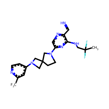 CC(F)(F)CNc1nc(N2CCC3(CN(c4ccnc(C(F)(F)F)c4)C3)C2)cnc1C=N